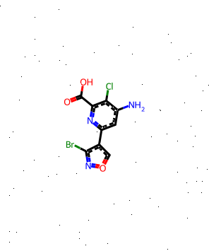 Nc1cc(-c2conc2Br)nc(C(=O)O)c1Cl